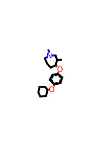 CC1CN(C)CCCC1Oc1ccc(OC2CCCCC2)cc1